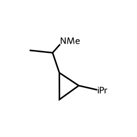 CNC(C)C1CC1C(C)C